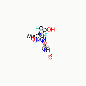 C#Cc1c(F)ccc2cc(O)cc(-c3nc(OC)c4c(N5CCCOCC5)nc(OC[C@]56CCC[C@H]5N(C5CC7(CCOC7)C5)CCC6)nc4c3F)c12